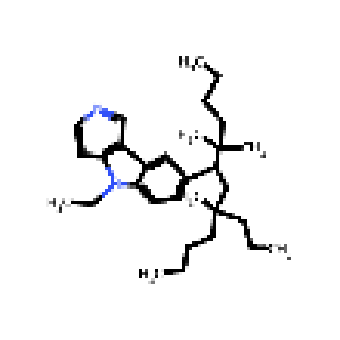 CCCCC(C)(CCC)CC(c1ccc2c(c1)c1cnccc1n2CC)C(C)(C)CCCC